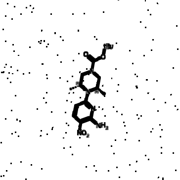 C[C@@H]1CN(C(=O)OC(C)(C)C)C[C@@H](C)N1c1ccc([N+](=O)[O-])c(N)n1